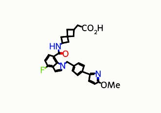 COc1ccc(-c2ccc(Cn3ccc4c(F)ccc(C(=O)NC5CC6(CC(CC(=O)O)C6)C5)c43)cc2)cn1